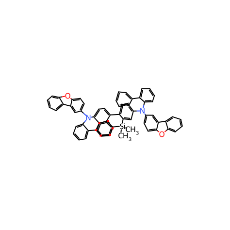 C[Si]1(C)c2cc(N(c3ccc4oc5ccccc5c4c3)c3ccccc3-c3ccccc3)ccc2-c2ccc(N(c3ccc4oc5ccccc5c4c3)c3ccccc3-c3ccccc3)c3cccc1c23